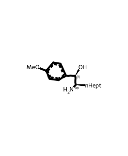 CCCCCCC[C@@H](N)[C@H](O)c1ccc(OC)cc1